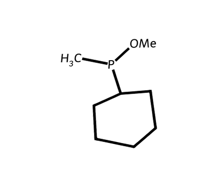 COP(C)C1CCCCC1